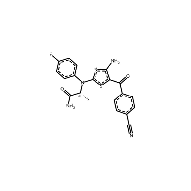 C[C@H](C(N)=O)N(c1ccc(F)cc1)c1nc(N)c(C(=O)c2ccc(C#N)cc2)s1